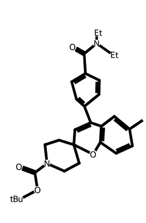 CCN(CC)C(=O)c1ccc(C2=CC3(CCN(C(=O)OC(C)(C)C)CC3)Oc3ccc(C)cc32)cc1